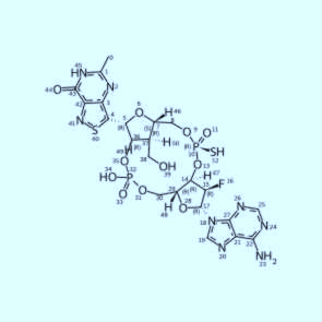 Cc1nc2c([C@@H]3O[C@@H]4CO[P@@](=O)(S)O[C@H]5[C@@H](F)[C@H](n6cnc7c(N)ncnc76)O[C@@H]5COP(=O)(O)O[C@@H]3[C@@H]4CO)snc2c(=O)[nH]1